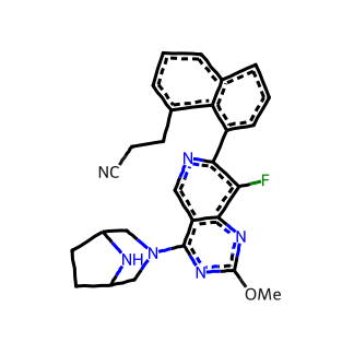 COc1nc(N2CC3CCC(C2)N3)c2cnc(-c3cccc4cccc(CCC#N)c34)c(F)c2n1